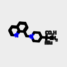 BC(CCCC)(C(=O)O)C1CCN(Cc2cccc3cccnc23)CC1